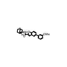 COc1cccc(-c2ccc3oc(C(=O)N[C@H]4CN5CCC4CC5)cc3c2)c1